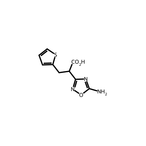 Nc1nc(C(Cc2cccs2)C(=O)O)no1